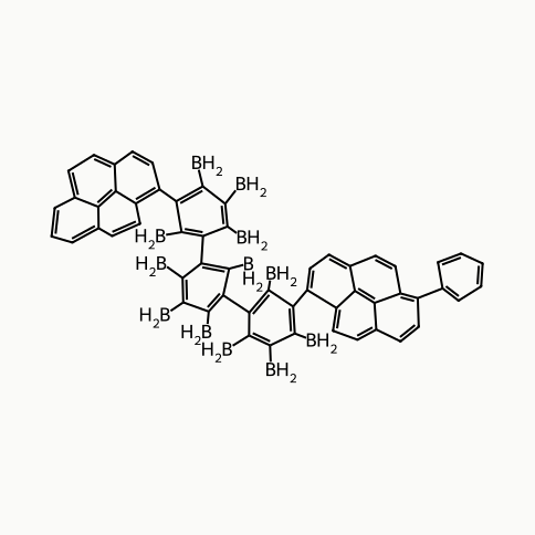 Bc1c(B)c(-c2c(B)c(B)c(B)c(-c3ccc4ccc5cccc6ccc3c4c56)c2B)c(B)c(-c2c(B)c(B)c(B)c(-c3ccc4ccc5c(-c6ccccc6)ccc6ccc3c4c65)c2B)c1B